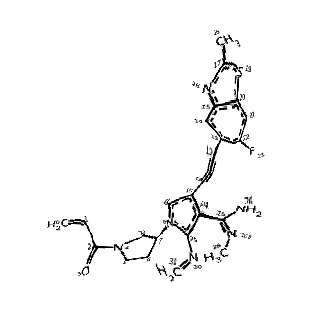 C=CC(=O)N1CC[C@H](n2cc(C#Cc3cc4nc(C)sc4cc3F)c(/C(N)=N\C)c2N=C)C1